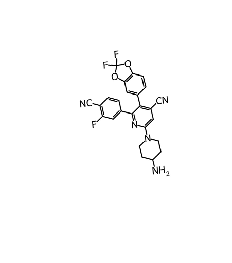 N#Cc1ccc(-c2nc(N3CCC(N)CC3)cc(C#N)c2-c2ccc3c(c2)OC(F)(F)O3)cc1F